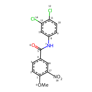 COc1ccc(C(=O)Nc2ccc(Cl)c(Cl)c2)cc1[N+](=O)[O-]